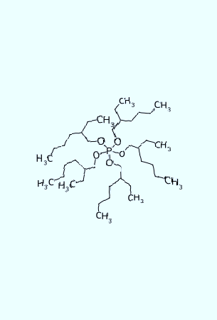 CCCCC(CC)COP(OCC(CC)CCCC)(OCC(CC)CCCC)(OCC(CC)CCCC)OCC(CC)CCCC